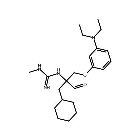 CCN(CC)c1cccc(OCC(C=O)(CC2CCCCC2)NC(=N)NC)c1